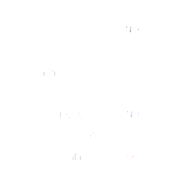 CCCc1cc([N+](=O)[O-])cc(NC(=O)OC(C)C)c1C(=O)O